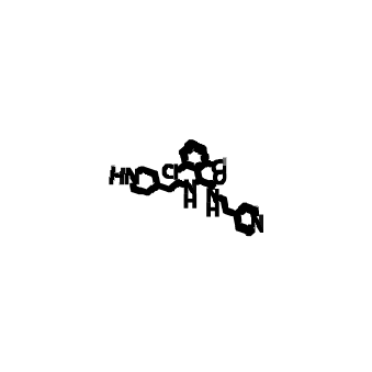 O=C(NCCc1ccncc1)C(NCCC1CCNCC1)c1c(Cl)cccc1Cl